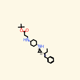 CC/C(=C\c1ccccc1)[C@@H]1C[C@H]1N[C@H]1CC[C@H](NCCC(=O)OC(C)(C)C)CC1